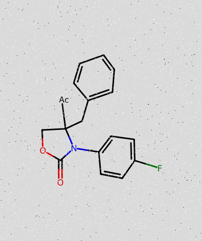 CC(=O)C1(Cc2ccccc2)COC(=O)N1c1ccc(F)cc1